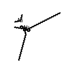 CCCCCCCCCCCCCCCCCCCCCCCC#CC1=C(c2cccc(CCCCCCCCCCCCCCCCCCCCCCCCCCCCC)c2)[N+](=[N-])C(c2cccc(CCCCC)c2)=C1.CCCC[CH2][Ni][CH2]CCCC